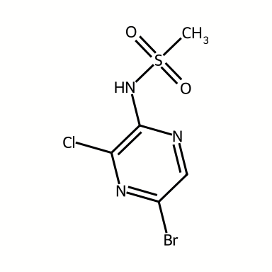 CS(=O)(=O)Nc1ncc(Br)nc1Cl